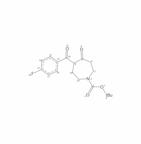 CC(C)(C)OC(=O)N1CCC(=O)C(C(=O)c2ccc(F)cc2)CC1